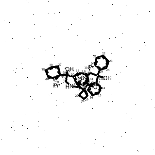 CC(C)[C@@H](NC(=O)C1(C(=O)N[C@H](C(C)C)C(O)(c2ccccc2)c2ccccc2)CCC1)C(O)(c1ccccc1)c1ccccc1